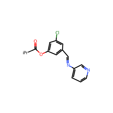 CC(C)C(=O)Oc1cc(Cl)cc(C=Nc2cccnc2)c1